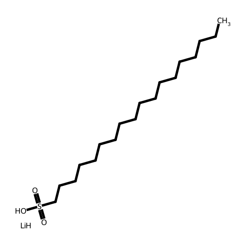 CCCCCCCCCCCCCCCCCCS(=O)(=O)O.[LiH]